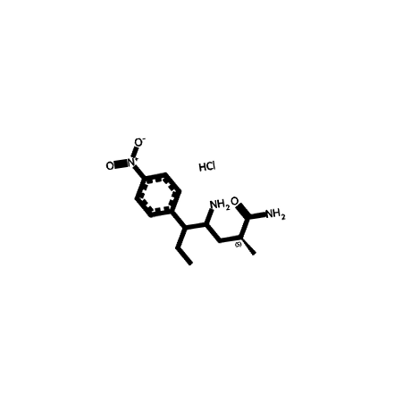 CCC(c1ccc([N+](=O)[O-])cc1)C(N)C[C@H](C)C(N)=O.Cl